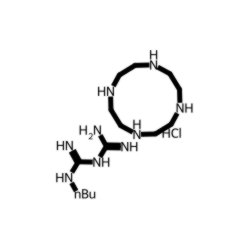 C1CNCCNCCNCCN1.CCCCNC(=N)NC(=N)N.Cl